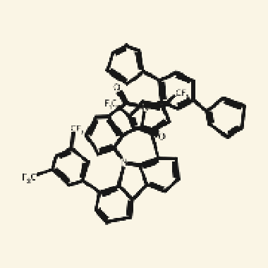 O=C1c2cccc(-n3c4c(-c5cc(C(F)(F)F)cc(C(F)(F)F)c5)cccc4c4cccc(-c5cc(C(F)(F)F)cc(C(F)(F)F)c5)c43)c2C(=O)N1c1cc(-c2ccccc2)ccc1-c1ccccc1